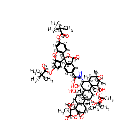 CC(=O)O[C@H]1C2C([C@@H](O)[C@@H](NC(=O)c3ccc4c(c3)C(=O)OC43c4ccc(OC(=O)C(C)(C)C)cc4Oc4cc(OC(=O)C(C)(C)C)ccc43)[C@H]3C[C@@H]4O[C@@H]4[C@H](O)[C@]23C)[C@@H]2[C@@H](O)CC3[C@H]([C@H](C)[C@H]4O[C@]45OC(=O)[C@@](C)(O)[C@]35C)[C@@]2(C)[C@H]1OC(C)=O